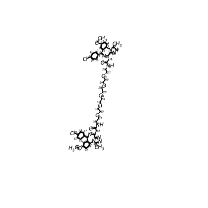 COc1ccc2c(c1)C(c1ccc(Cl)cc1)=N[C@@H](CC(=O)NCCOCCOCCOCCOCCOCCNC(=O)C[C@@H]1N=C(c3ccc(Cl)cc3)c3cc(OC)ccc3-n3c(C)nnc31)c1nnc(C)n1-2